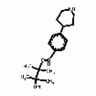 CC(C)(O)C(C)(C)OBc1ccc(C2CCNCC2)cc1